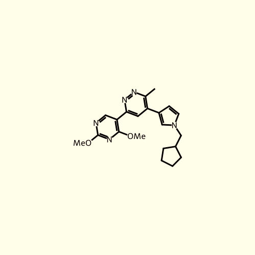 COc1ncc(-c2cc(-c3ccn(CC4CCCC4)c3)c(C)nn2)c(OC)n1